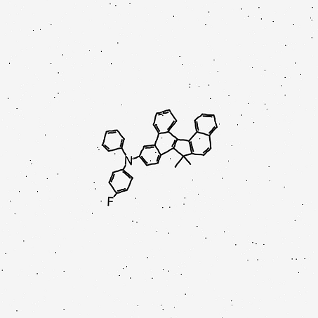 CC1(C)c2ccc3ccccc3c2-c2c1c1ccc(N(c3ccccc3)c3ccc(F)cc3)cc1c1ccccc21